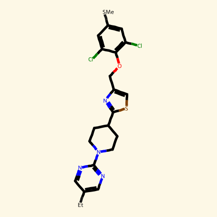 CCc1cnc(N2CCC(c3nc(COc4c(Cl)cc(SC)cc4Cl)cs3)CC2)nc1